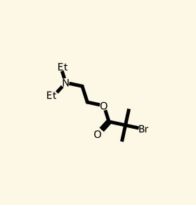 CCN(CC)CCOC(=O)C(C)(C)Br